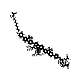 C=C(C)C(=O)OCCCCCCCCOc1ccc(-c2ccc3c(c2)S(=O)(=O)c2cc(-c4ccc5c(c4)C(CCC(CCC)CCC)(C(F)(F)C(F)(F)C(CCC)CCC)c4cc(-c6ccc7c(c6)S(=O)(=O)c6cc(-c8ccc(CC(=O)[C@H](OC(=O)C(=C)C)[C@H](OC(=O)C(=C)C)C(=O)OC)cc8)ccc6-7)ccc4-5)ccc2-3)cc1